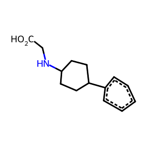 O=C(O)CNC1CCC(c2ccccc2)CC1